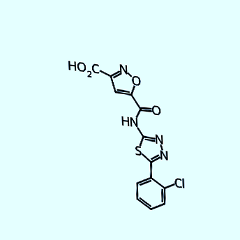 O=C(O)c1cc(C(=O)Nc2nnc(-c3ccccc3Cl)s2)on1